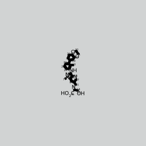 Cc1c(Nc2nn(C)c3cc(C=N[C@H](CO)C(=O)O)cnc23)cccc1-c1ccc2c(c1)OCCO2